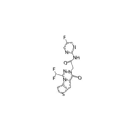 O=C(Cn1nc(C(F)F)n2c(cc3sccc32)c1=O)Nc1ncc(F)cn1